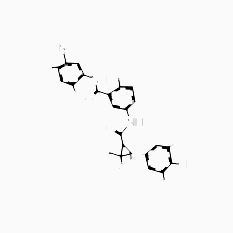 Nc1cc(NC(=O)c2cc(NC(=O)C3[C@H](c4cc(Cl)c(Cl)c(Cl)c4)C3(Cl)Cl)ccc2Cl)c(F)cc1F